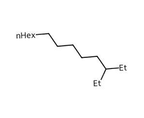 CCCCCCCCCCCC(CC)CC